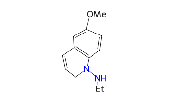 CCNN1CC=Cc2cc(OC)ccc21